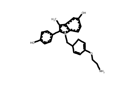 Cc1c(-c2ccc(O)cc2)n(CC2C=CC(OCCN)=CC2)c2ccc(O)cc12